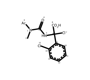 CC(=O)N(C)C(=O)NC(Cl)(C(=O)O)c1ccccc1Cl